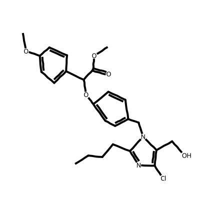 CCCCc1nc(Cl)c(CO)n1Cc1ccc(OC(C(=O)OC)c2ccc(OC)cc2)cc1